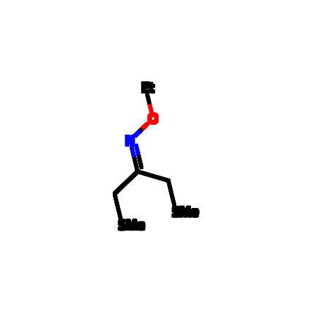 CCON=C(CSC)CSC